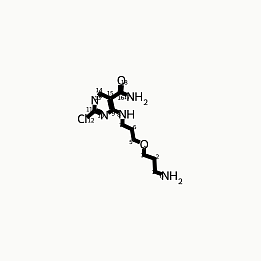 NCCCOCCCNc1nc(Cl)ncc1C(N)=O